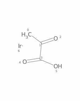 CC(=O)C(=O)O.[Ir]